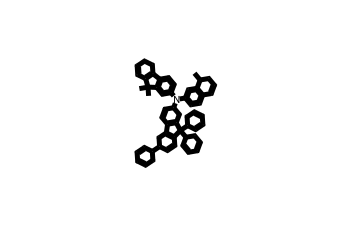 CC1CC=Cc2ccc(N(c3ccc4c(c3)C(C)(C)C3=C4CCC=C3)C3C=CC4=C(C3)C(C3C=CC=CC3)(C3C=CC=CC3)C3=C4CC(C4C=CC=CC4)C=C3)cc21